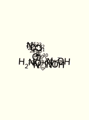 Cc1nn(CC(O)CO)c(C)c1-c1cnc(N)c2oc(-c3cccc4cnccc34)cc12